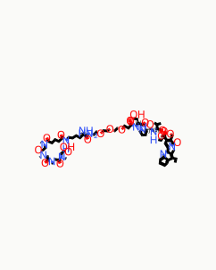 CCc1c2c(nc3ccccc13)-c1cc3c(c(=O)n1C2)COC(=O)[C@@]3(CC)OC(=O)[C@@H](NC(=O)[C@@H]1CCCN1C(=O)[C@H](CC(=O)O)NC(=O)CCOCCOCCOCCNC(=O)[C@@H](N)CCCCNC(=O)CCCC(=O)N(C)CC(=O)N(C)CC(=O)N(C)CC(=O)N(C)CC(=O)O)C(C)C